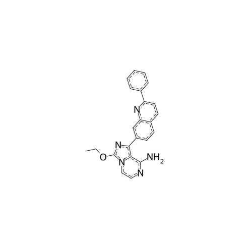 CCOc1nc(-c2ccc3ccc(-c4ccccc4)nc3c2)c2c(N)nccn12